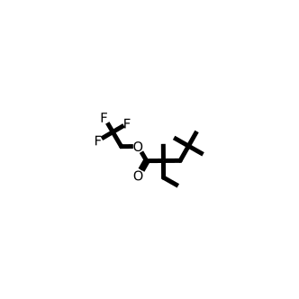 CCC(C)(CC(C)(C)C)C(=O)OCC(F)(F)F